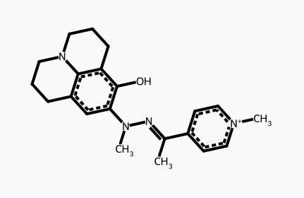 C/C(=N\N(C)c1cc2c3c(c1O)CCCN3CCC2)c1cc[n+](C)cc1